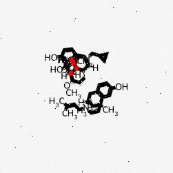 CC(C)=CCN1CC[C@@]2(C)c3cc(O)ccc3C[C@@H]1[C@@H]2C.CO[C@@]12CC[C@@]3(C[C@@H]1[C@](C)(O)C(C)(C)C)[C@H]1Cc4ccc(O)c5c4[C@@]3(CCN1CC1CC1)[C@H]2O5